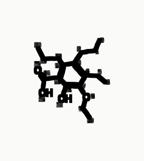 CCCc1c(CC)c(OCC)c(O)c(C(=O)O)c1CCC